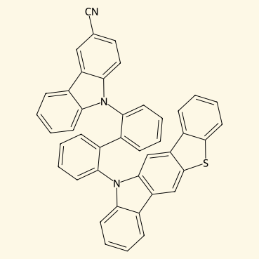 N#Cc1ccc2c(c1)c1ccccc1n2-c1ccccc1-c1ccccc1-n1c2ccccc2c2cc3sc4ccccc4c3cc21